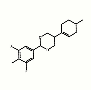 Cc1c(F)cc(C2OCC(C3=CCC(C)CC3)CO2)cc1F